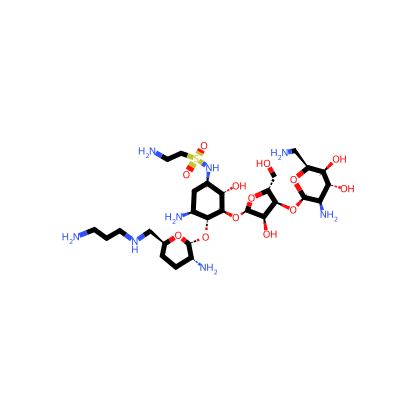 NCCCNC[C@@H]1CC[C@@H](N)[C@@H](O[C@H]2[C@H](O[C@@H]3O[C@H](CO)[C@@H](O[C@H]4O[C@@H](CN)[C@@H](O)[C@H](O)[C@H]4N)[C@H]3O)[C@@H](O)[C@H](NS(=O)(=O)CCN)C[C@@H]2N)O1